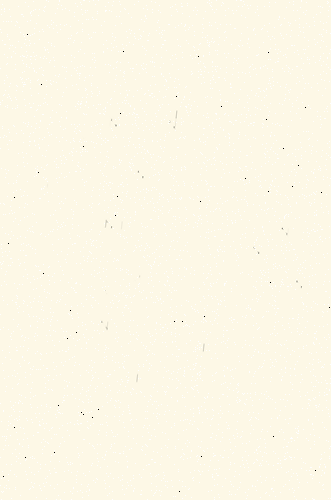 CCC(C)NC(=O)c1ccccc1Nc1nc(Nc2ccc(Cn3cncn3)cc2)ncc1Br